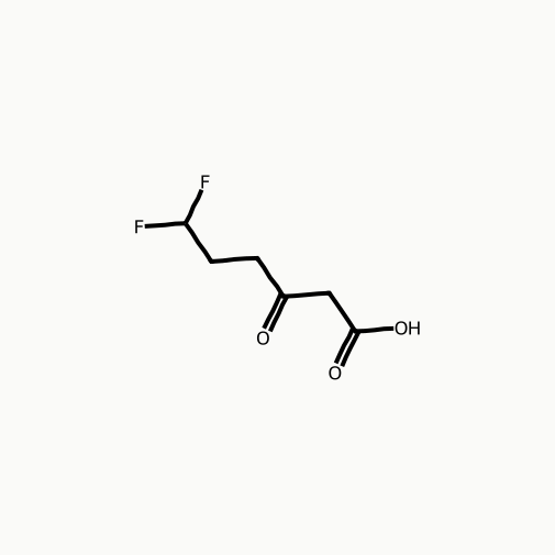 O=C(O)CC(=O)CCC(F)F